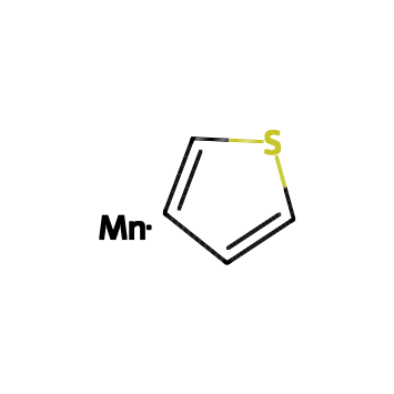 [Mn].c1ccsc1